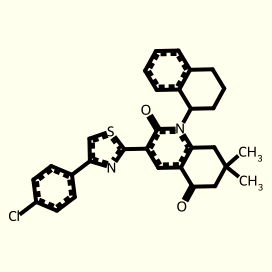 CC1(C)CC(=O)c2cc(-c3nc(-c4ccc(Cl)cc4)cs3)c(=O)n(C3CCCc4ccccc43)c2C1